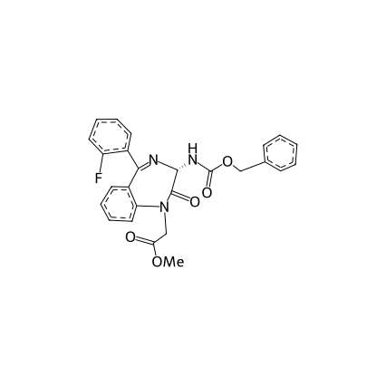 COC(=O)CN1C(=O)[C@@H](NC(=O)OCc2ccccc2)N=C(c2ccccc2F)c2ccccc21